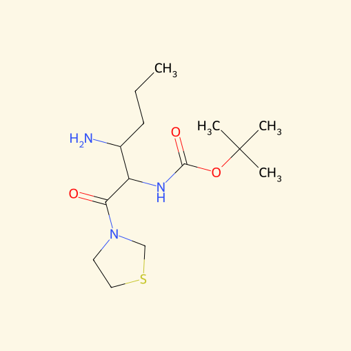 CCCC(N)C(NC(=O)OC(C)(C)C)C(=O)N1CCSC1